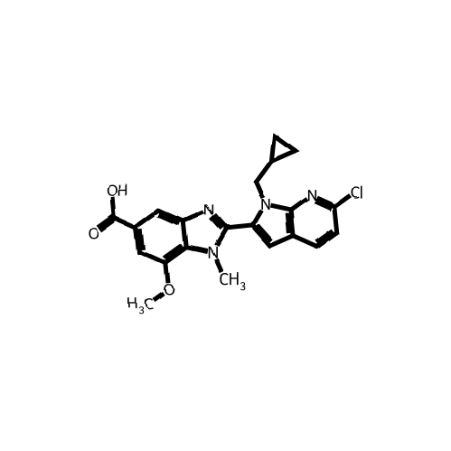 COc1cc(C(=O)O)cc2nc(-c3cc4ccc(Cl)nc4n3CC3CC3)n(C)c12